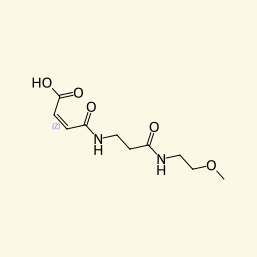 COCCNC(=O)CCNC(=O)/C=C\C(=O)O